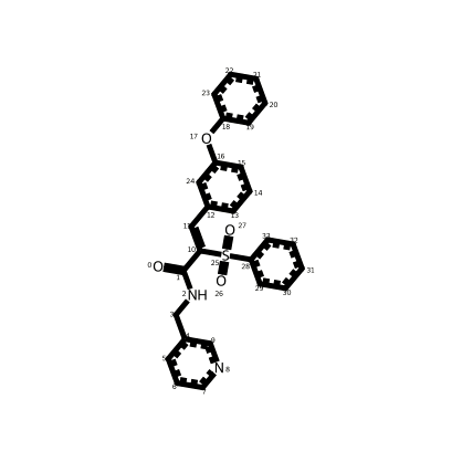 O=C(NCc1cccnc1)C(=Cc1cccc(Oc2ccccc2)c1)S(=O)(=O)c1ccccc1